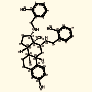 C[C@@]12[C@@H](NCc3ccccc3O)CC[C@H]1[C@@H]1CCc3cc(O)ccc3[C@H]1C[C@@H]2NCc1ccccc1O